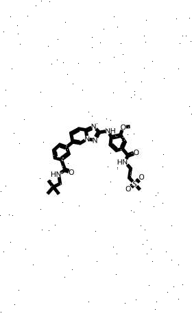 COc1cc(C(=O)NCCS(C)(=O)=O)ccc1Nc1nc2ccc(-c3cccc(C(=O)NCC(C)(C)C)c3)cn2n1